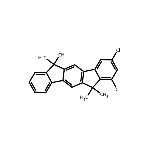 CC1(C)c2ccccc2-c2cc3c(cc21)-c1cc(Cl)cc(Cl)c1C3(C)C